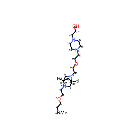 CNCCOCCN1C[C@@H]2C[C@H]1CN2CCOCCN1CCN(CCO)CC1